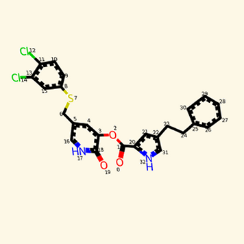 O=C(Oc1cc(CSc2ccc(Cl)c(Cl)c2)c[nH]c1=O)c1cc(CCc2ccccc2)c[nH]1